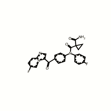 NC(=O)C1(C(=O)N(c2ccc(F)cc2)c2ccc(C(=O)c3cnc4ccc(F)cn34)cc2)CC1